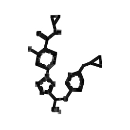 CC(Oc1ccc(CC2CC2)nc1)c1nnn(-c2ccc(C(=O)NC3CC3)c(F)c2)n1